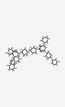 c1ccc(-c2ccc(-c3cc(-c4ccccc4)nc(-c4ccc(-c5ccc(-c6nc7ccccc7c7c6ccc6c8ccccc8sc67)cc5)cc4)n3)cc2)cc1